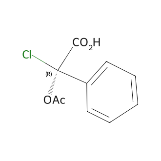 CC(=O)O[C@](Cl)(C(=O)O)c1ccccc1